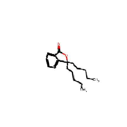 CCCCCC1(CCCCC)OC(=O)c2ccccc21